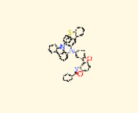 c1ccc(-c2nc3c(ccc4oc5ccc(N(c6ccc7sc8ccccc8c7c6)c6cccc7c8ccccc8n(-c8ccccc8)c67)cc5c43)o2)cc1